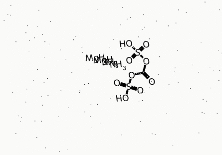 N.N.O=C(OS(=O)(=O)O)OS(=O)(=O)O.[MgH2].[MgH2]